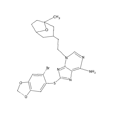 CC12CCC(CC(CCn3cnc(N)c4nc(Sc5cc6c(cc5Br)OCO6)nc3-4)C1)O2